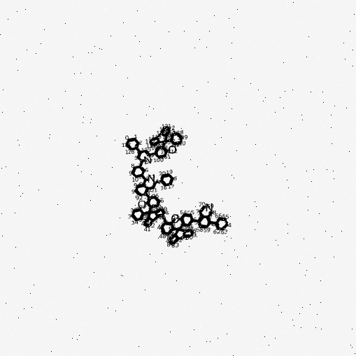 c1ccc(-c2cc(-c3cccc(-c4nc(-c5ccccc5)cc5c(-c6cccc7c6Oc6ccccc6C76c7ccccc7-c7c(-c8cccc9c8Oc8ccc(-c%10ccc(-c%11ccccc%11)c%11cnccc%10%11)cc8C98c9ccccc9-c9ccccc98)cccc76)cccc45)c3)nc(-c3ccc4c(c3)C3(c5ccccc5O4)c4ccccc4-c4ccccc43)c2)cc1